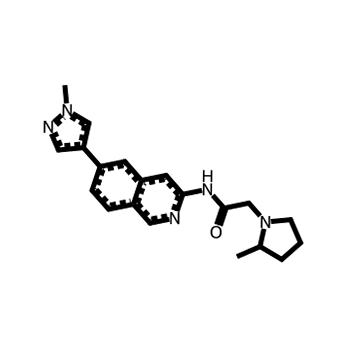 CC1CCCN1CC(=O)Nc1cc2cc(-c3cnn(C)c3)ccc2cn1